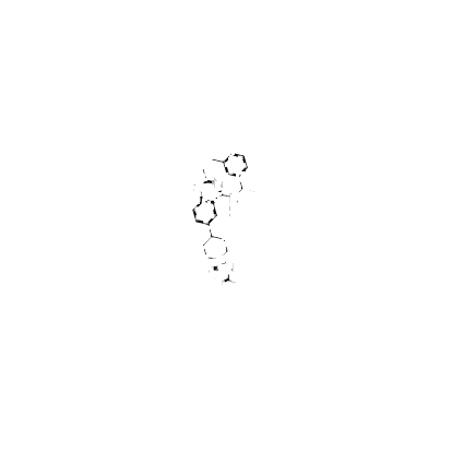 Cc1cccc([C@@H](C)Nc2nc(C)nc3ccc(C4CCS(=O)(=NC(=O)C(F)(F)F)CC4)cc23)c1